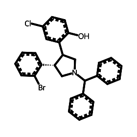 Oc1ccc(Cl)cc1C1CN(C(c2ccccc2)c2ccccc2)C[C@@H]1c1ccccc1Br